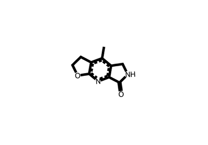 Cc1c2c(nc3c1CNC3=O)OCC2